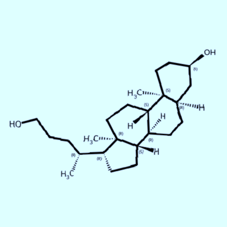 C[C@H](CCCO)[C@H]1CC[C@H]2[C@@H]3CC[C@@H]4C[C@H](O)CC[C@]4(C)[C@H]3CC[C@]12C